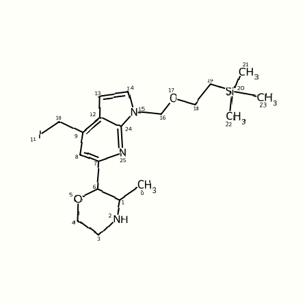 CC1NCCOC1c1cc(CI)c2ccn(COCC[Si](C)(C)C)c2n1